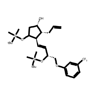 C=CC[C@H]1[C@@H](O)CC(O[Si](C)(C)C(C)(C)C)[C@@H]1/C=C/[C@H](COc1cccc(C(F)(F)F)c1)O[Si](C)(C)C(C)(C)C